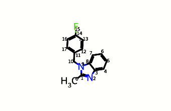 Cc1nc2ccccc2n1Cc1c[c]c(F)cc1